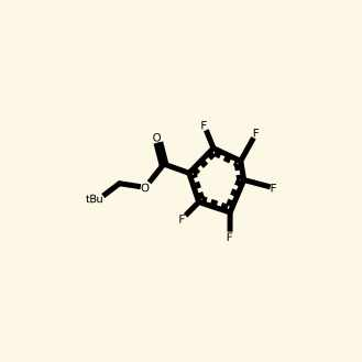 CC(C)(C)COC(=O)c1c(F)c(F)c(F)c(F)c1F